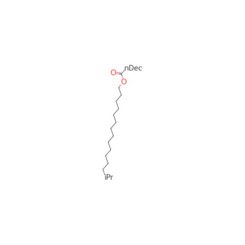 CCCCCCCCCCC(=O)OCCCCCCCCCCCCCC(C)C